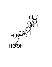 NC(CCCCB(O)O)(CCCN1CCN(C(=O)Nc2ccc(Cl)c(Cl)c2)CC1)C(=O)O